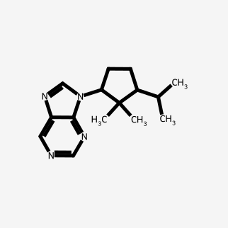 CC(C)C1CCC(n2cnc3cncnc32)C1(C)C